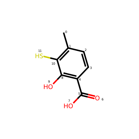 Cc1ccc(C(=O)O)c(O)c1S